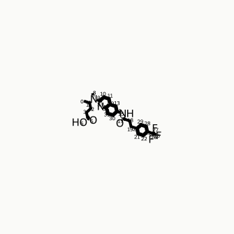 CC(CCC(=O)O)N(C)c1ccc2cc(NC(=O)CCc3ccc(C(F)(F)F)cc3)ccc2n1